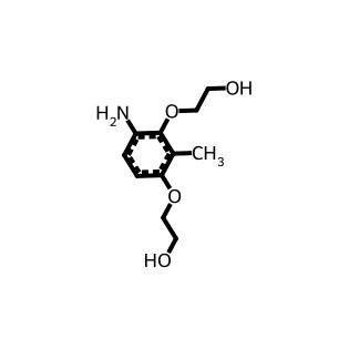 Cc1c(OCCO)ccc(N)c1OCCO